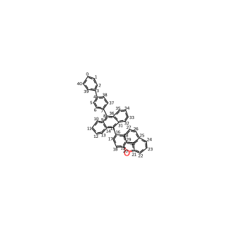 c1ccc(-c2ccc(-c3c4ccccc4c(-c4ccc5oc6cccc7ccc4c5c76)c4ccccc34)cc2)cc1